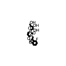 O=c1ccn(C2OC(CO)C(O)C2O)c(=O)n1Cc1noc2cccc(F)c12